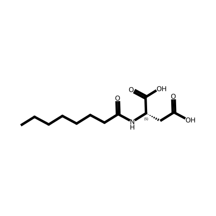 CCCCCCCC(=O)N[C@@H](CC(=O)O)C(=O)O